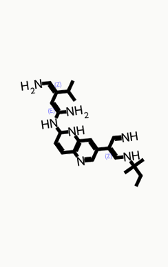 CCC(C)(C)N/C=C(\C=N)c1cnc2c(c1)NC(N/C(N)=C/C(=C\N)C(C)C)C=C2